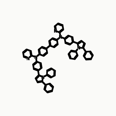 c1ccc(-c2ccc(-c3ccc(N(c4ccc(-c5ccc(N(c6ccc(-c7ccc(-c8ccccc8)n7-c7ccccc7)cc6)c6ccccn6)cc5)cc4)c4ccccn4)cc3)n2-c2ccccc2)cc1